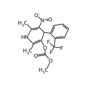 COC(=O)OC1=C(C)NC(C)=C([N+](=O)[O-])C1c1ccccc1C(F)(F)F